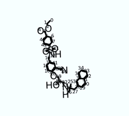 CCOC(=O)c1ccc(S(=O)(=O)NCc2ccc(OC[C@H](O)CNC(C)(C)Cc3ccc4ccccc4c3)c(C#N)c2)cc1